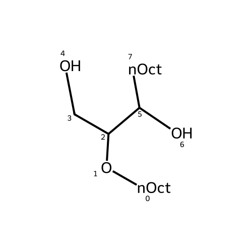 CCCCCCCCOC(CO)C(O)CCCCCCCC